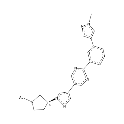 CC(=O)N1CC[C@H](n2cc(-c3cnc(-c4cccc(-c5cnn(C)c5)c4)nc3)cn2)C1